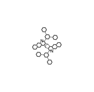 c1ccc(-c2cc(-c3ccccc3)cc(-c3nc4cc5ccccc5cc4c4c3C3CC4c4c(-c5cc(-c6ccccc6)cc(-c6ccccc6)c5)nc5cc6ccccc6cc5c43)c2)cc1